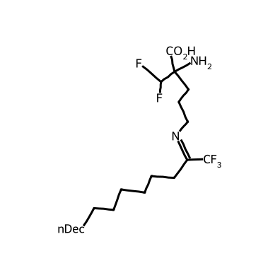 CCCCCCCCCCCCCCCC/C(=N/CCCC(N)(C(=O)O)C(F)F)C(F)(F)F